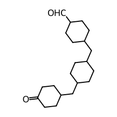 O=CC1CCC(CC2CCC(CC3CCC(=O)CC3)CC2)CC1